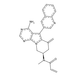 C=CC(=O)N(C)[C@@H]1CC(=C)c2c(-c3cnc4ccccc4c3)c3c(N)ncnc3n2C1